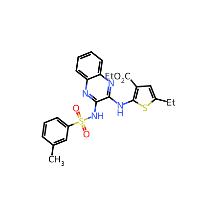 CCOC(=O)c1cc(CC)sc1Nc1nc2ccccc2nc1NS(=O)(=O)c1cccc(C)c1